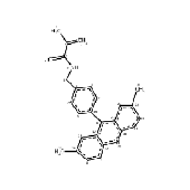 C=C(C)C(=O)NCc1ccc(-c2c3cc(C)ccc3nc3ccc(C)cc23)cc1